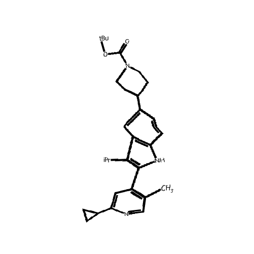 Cc1cnc(C2CC2)cc1-c1[nH]c2ccc(C3CCN(C(=O)OC(C)(C)C)CC3)cc2c1C(C)C